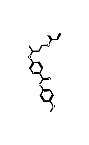 C=CC(=O)OCCC(C)Oc1ccc(C(=O)Oc2ccc(OC)cc2)cc1